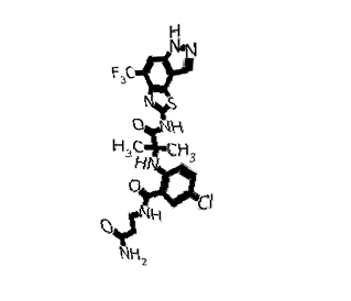 CC(C)(Nc1ccc(Cl)cc1C(=O)NCCC(N)=O)C(=O)Nc1nc2c(C(F)(F)F)cc3[nH]ncc3c2s1